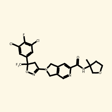 CC1(NC(=O)c2cc3c(cn2)CN(C2=NOC(c4cc(Cl)c(F)c(Cl)c4)(C(F)(F)F)C2)C3)CCOC1